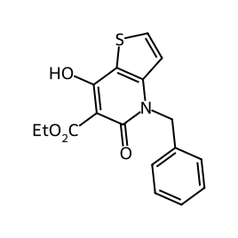 CCOC(=O)c1c(O)c2sccc2n(Cc2ccccc2)c1=O